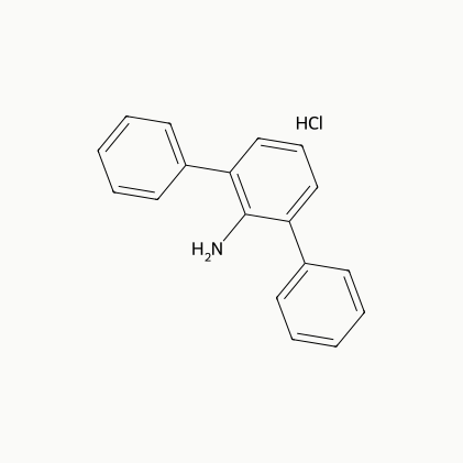 Cl.Nc1c(-c2ccccc2)cccc1-c1ccccc1